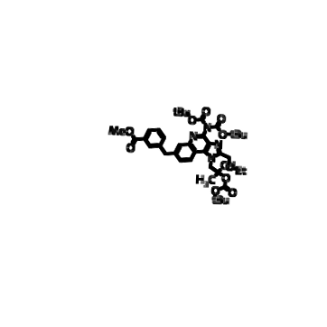 CCOCc1nc2c(N(C(=O)OC(C)(C)C)C(=O)OC(C)(C)C)nc3cc(Cc4cccc(C(=O)OC)c4)ccc3c2n1CC(C)(C)OC(=O)OC(C)(C)C